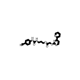 N#Cc1ccc(NC(=O)NCCCOC(=O)CSc2nccc(-c3ccccn3)n2)cc1